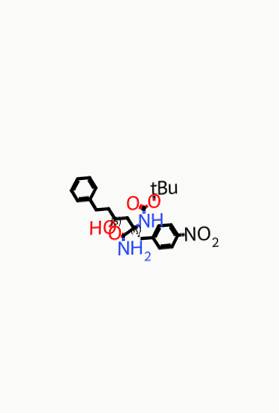 CC(C)(C)OC(=O)N[C@](Cc1ccc([N+](=O)[O-])cc1)(C[C@@H](O)CCc1ccccc1)C(N)=O